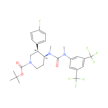 CN(C(=O)N(C)[C@H]1CCN(C(=O)OC(C)(C)C)C[C@H]1c1ccc(F)cc1)c1cc(C(F)(F)F)cc(C(F)(F)F)c1